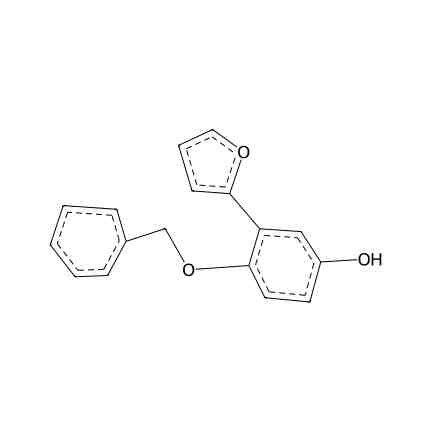 Oc1ccc(OCc2ccccc2)c(-c2ccco2)c1